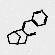 O=C1CN2CCC(C2)C1=Cc1cccnc1